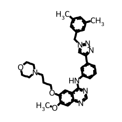 COc1cc2ncnc(Nc3cccc(-c4cn(Cc5cc(C)cc(C)c5)nn4)c3)c2cc1OCCCN1CCOCC1